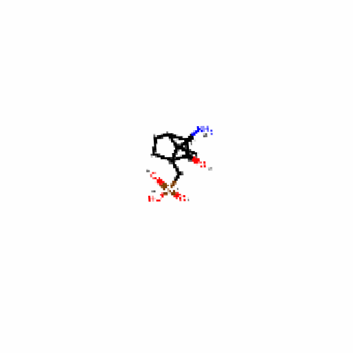 CC1(C)C2CCC1(CS(=O)(=O)O)C(=O)C2N